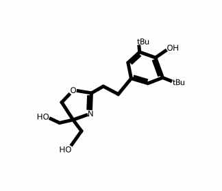 CC(C)(C)c1cc(CCC2=NC(CO)(CO)CO2)cc(C(C)(C)C)c1O